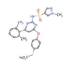 Cc1cccc(C)c1-c1cc(Oc2ccc(CC(=O)O)cc2)nc(NS(=O)(=O)c2cnn(C)c2)n1